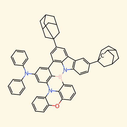 c1ccc(N(c2ccccc2)c2cc3c4c(c2)N2c5ccccc5Oc5cccc(c52)B4n2c4ccc(C56CCC7CC(CC7C5)C6)cc4c4cc(C56CC7CC(CC(C7)C5)C6)cc-3c42)cc1